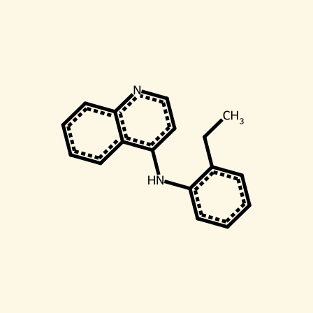 CCc1ccccc1Nc1ccnc2ccccc12